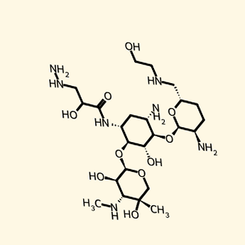 CN[C@@H]1[C@@H](O)[C@@H](O[C@@H]2[C@@H](O)[C@H](O[C@H]3O[C@H](CNCCO)CC[C@H]3N)[C@@H](N)C[C@H]2NC(=O)C(O)CNN)OC[C@]1(C)O